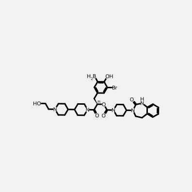 Bc1cc(C[C@@H](OC(=O)N2CCC(N3CCc4ccccc4NC3=O)CC2)C(=O)N2CCC(C3CCN(CCO)CC3)CC2)cc(Br)c1O